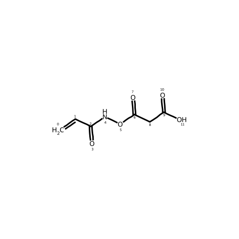 C=CC(=O)NOC(=O)CC(=O)O